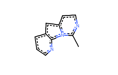 Cc1nccc2cc3cccnc3n12